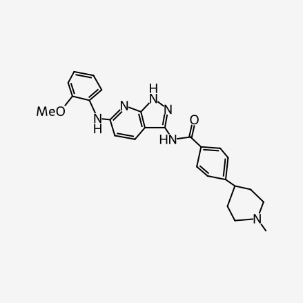 COc1ccccc1Nc1ccc2c(NC(=O)c3ccc(C4CCN(C)CC4)cc3)n[nH]c2n1